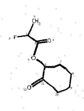 CC(F)C(=O)OC1CCCCC1=O